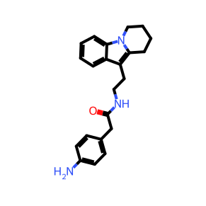 Nc1ccc(CC(=O)NCCc2c3n(c4ccccc24)CCCC3)cc1